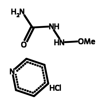 CONNC(N)=O.Cl.c1ccncc1